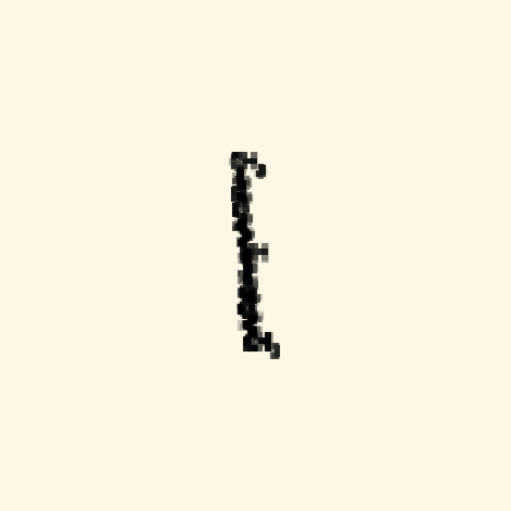 CCCCOCOCCCCNCCCCOCOCCCC